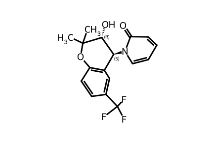 CC1(C)Oc2ccc(C(F)(F)F)cc2[C@H](n2ccccc2=O)[C@H]1O